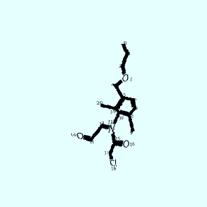 CCCOCc1ccc(C)c(N(CC=O)C(=O)CCl)c1C